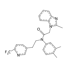 Cc1ccc(N(CCc2ccc(C(F)(F)F)nc2)C(=O)Cn2c(C)nc3ccccc32)cc1C